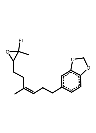 CCC1(C)OC1CCC(C)=CCCc1ccc2c(c1)OCO2